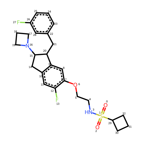 O=S(=O)(NCCOc1cc2c(cc1F)CC(N1CCC1)C2Cc1cccc(F)c1)C1CCC1